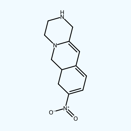 O=[N+]([O-])C1=CC=C2C=C3CNCCN3CC2C1